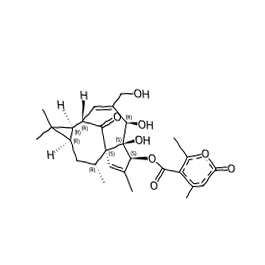 CC1=C[C@]23C(=O)[C@@H](C=C(CO)[C@@H](O)[C@]2(O)[C@H]1OC(=O)c1c(C)cc(=O)oc1C)[C@H]1[C@@H](C[C@H]3C)C1(C)C